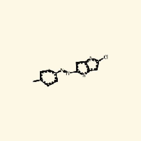 Cc1ccc(N=Nc2cc3sc(Cl)cc3s2)cc1